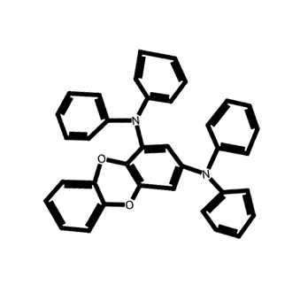 c1ccc(N(c2ccccc2)c2cc3c(c(N(c4ccccc4)c4ccccc4)c2)Oc2ccccc2O3)cc1